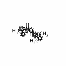 CCc1cccc(C)c1NC(=O)NC[C@H]1CC[C@@H](Nc2cc(N(C)C)c3ccccc3n2)CC1